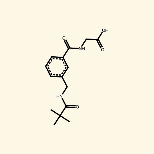 CC(C)(C)C(=O)NCc1cccc(C(=O)NCC(=O)O)c1